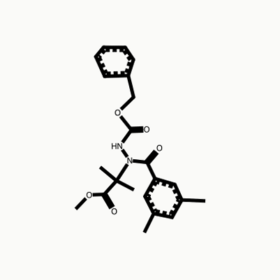 COC(=O)C(C)(C)N(NC(=O)OCc1ccccc1)C(=O)c1cc(C)cc(C)c1